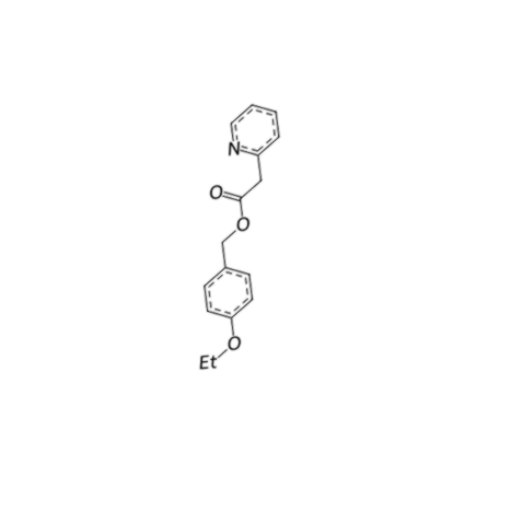 CCOc1ccc(COC(=O)Cc2ccccn2)cc1